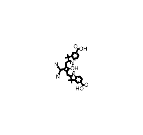 CN1/C(=C\C2=C(O)C(=C\C3=[N+](C)c4ccc(C(=O)O)cc4C3(C)C)/C2=C(C#N)C#N)C(C)(C)c2cc(C(=O)O)ccc21